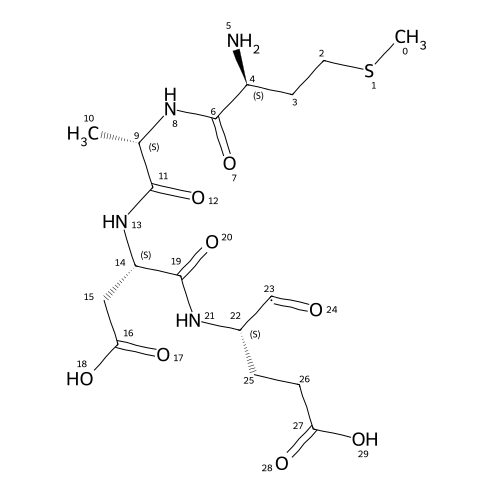 CSCC[C@H](N)C(=O)N[C@@H](C)C(=O)N[C@@H](CC(=O)O)C(=O)N[C@H]([C]=O)CCC(=O)O